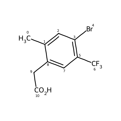 Cc1cc(Br)c(C(F)(F)F)cc1CC(=O)O